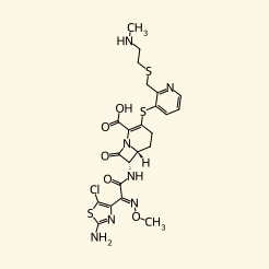 CNCCSCc1ncccc1SC1=C(C(=O)O)N2C(=O)[C@@H](NC(=O)C(=NOC)c3nc(N)sc3Cl)[C@H]2CC1